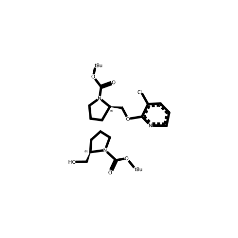 CC(C)(C)OC(=O)N1CCC[C@@H]1CO.CC(C)(C)OC(=O)N1CCC[C@@H]1COc1ncccc1Cl